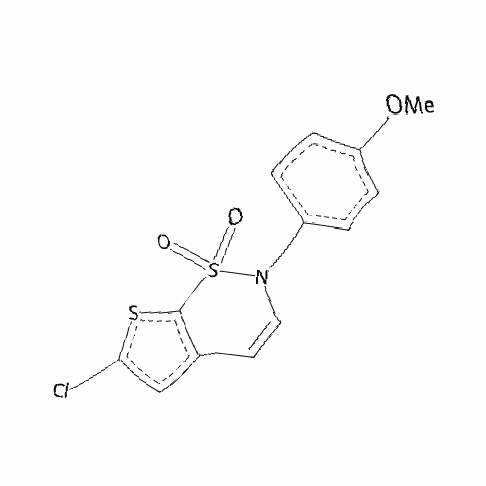 COc1ccc(N2C=Cc3cc(Cl)sc3S2(=O)=O)cc1